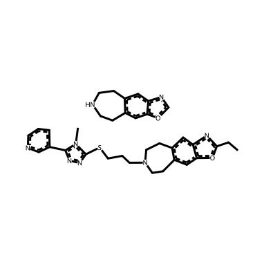 CCc1nc2cc3c(cc2o1)CCN(CCCSc1nnc(-c2cccnc2)n1C)CC3.c1nc2cc3c(cc2o1)CCNCC3